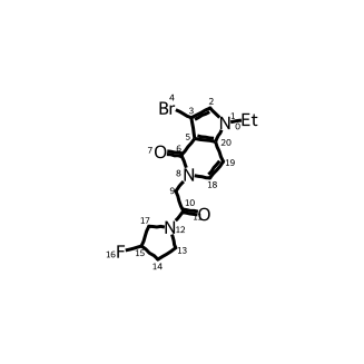 CCn1cc(Br)c2c(=O)n(CC(=O)N3CCC(F)C3)ccc21